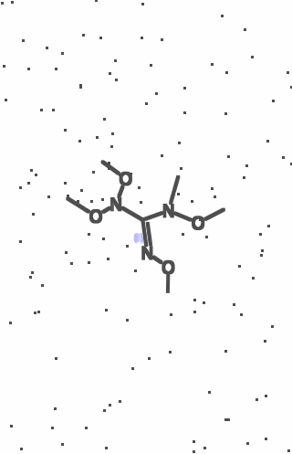 CO/N=C(\N(C)OC)N(OC)OC